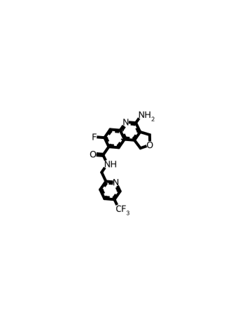 Nc1nc2cc(F)c(C(=O)NCc3ccc(C(F)(F)F)cn3)cc2c2c1COC2